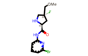 COC[C@]1(F)CN[C@H](C(=O)Nc2cccc(Br)n2)C1